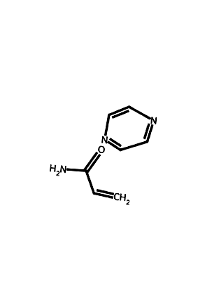 C=CC(N)=O.c1cnccn1